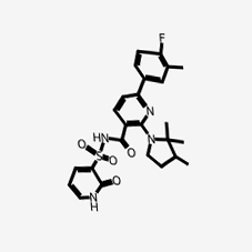 Cc1cc(-c2ccc(C(=O)NS(=O)(=O)c3ccc[nH]c3=O)c(N3CCC(C)C3(C)C)n2)ccc1F